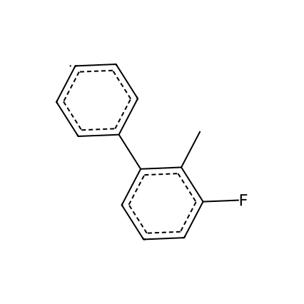 Cc1c(F)cccc1-c1cc[c]cc1